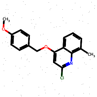 COc1ccc(COc2cc(Cl)nc3c(C)cccc23)cc1